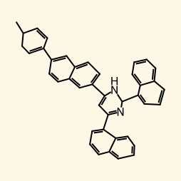 CC1C=CC(c2ccc3cc(C4=CC(c5cccc6ccccc56)=NC(c5cccc6ccccc56)N4)ccc3c2)=CC1